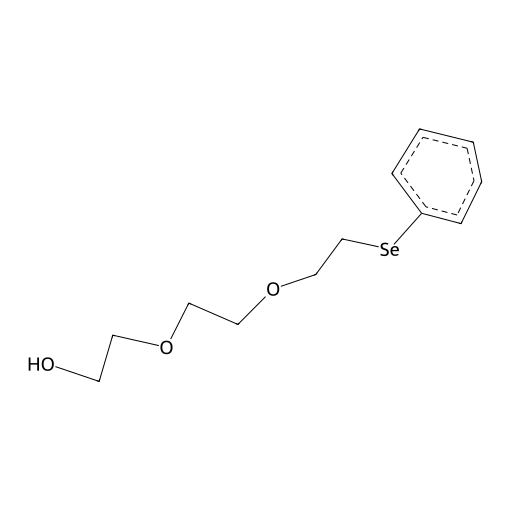 OCCOCCOCC[Se]c1ccccc1